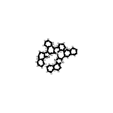 c1ccc2cc(-c3nc4ccc5ccccc5c4nc3-n3c4ccccc4c4c5ccccc5c5c6ccc7ccccc7c6sc5c43)ccc2c1